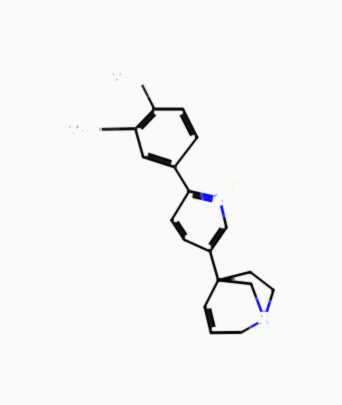 Br.COc1ccc(-c2ccc(C34C=CCN(CC3)C4)cn2)cc1OC